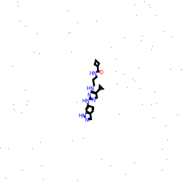 O=C(NCCCNc1nc(Nc2ccc3cn[nH]c3c2)ncc1C1CC1)C1CCC1